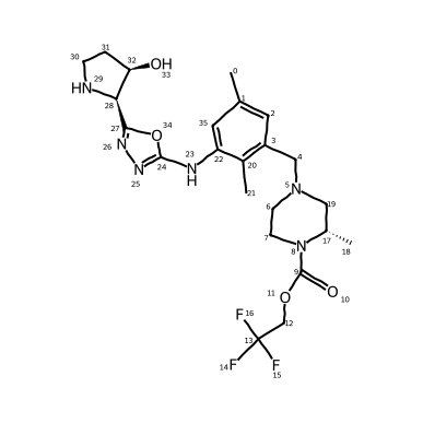 Cc1cc(CN2CCN(C(=O)OCC(F)(F)F)[C@@H](C)C2)c(C)c(Nc2nnc([C@H]3NCC[C@H]3O)o2)c1